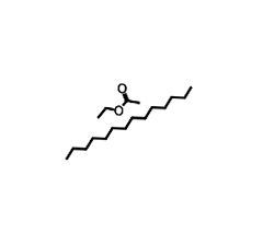 CCCCCCCCCCCCCC.CCOC(C)=O